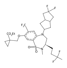 CCOC(=O)C1(COc2cc3c(cc2C(F)(F)F)N(C2CC4CC(F)(F)CC4C2)C[C@@H](CCC(C)(F)F)N(C)S3(=O)=O)CC1